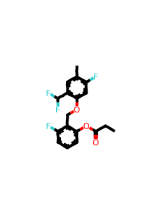 CCC(=O)Oc1cccc(F)c1COc1cc(F)c(C)cc1C(F)F